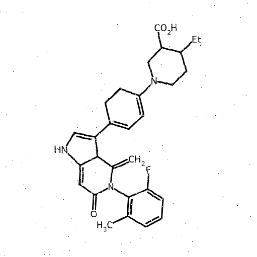 C=C1C2C(=CC(=O)N1c1c(C)cccc1F)NC=C2C1=CC=C(N2CCC(CC)C(C(=O)O)C2)CC1